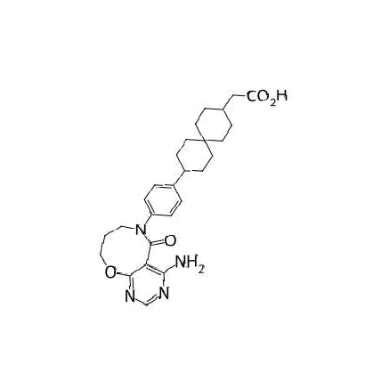 Nc1ncnc2c1C(=O)N(c1ccc(C3CCC4(CCC(CC(=O)O)CC4)CC3)cc1)CCCO2